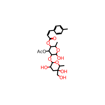 CC(=O)OC1C(OC(=O)/C=C\c2ccc(C)cc2)C(C)OC(O)C1OC1OC(C)C(O)(CO)CC1O